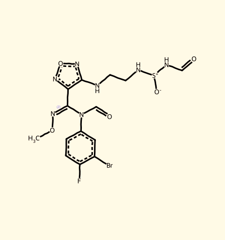 CO/N=C(/c1nonc1NCCN[S+]([O-])NC=O)N(C=O)c1ccc(F)c(Br)c1